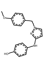 COc1ccc(Cn2ccc(Nc3ccc(O)cc3)n2)cc1